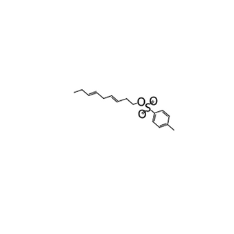 CCC=CCC=CCCOS(=O)(=O)c1ccc(C)cc1